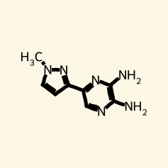 Cn1ccc(-c2cnc(N)c(N)n2)n1